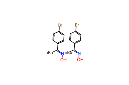 CCCCC(=NO)c1ccc(Br)cc1.CCCCC(=NO)c1ccc(Br)cc1